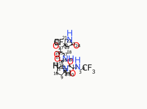 O=C(NCC(F)(F)F)C(=O)N1[C@@H]2CC[C@@H](C2)[C@H]1C(=O)N[C@@H](C[C@@H]1CCNC1=O)C(=O)COC(F)(F)F